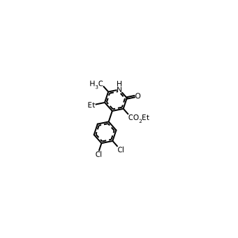 CCOC(=O)c1c(-c2ccc(Cl)c(Cl)c2)c(CC)c(C)[nH]c1=O